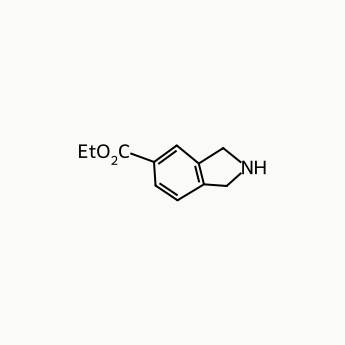 CCOC(=O)c1ccc2c(c1)CNC2